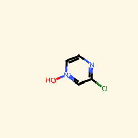 O[n+]1ccnc(Cl)c1